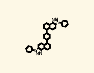 c1ccc(-n2nnc3c4cccc(-c5ccc(-c6cccc7c6ccc6c7nnn6-c6ccccc6)cc5)c4ccc32)cc1